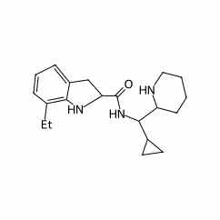 CCc1cccc2c1NC(C(=O)NC(C1CC1)C1CCCCN1)C2